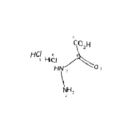 Cl.Cl.NNC(=O)C(=O)O